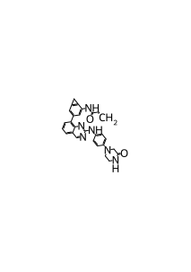 C=CC(=O)Nc1cc(-c2cccc3cnc(Nc4ccc(N5CCNC(=O)C5)cc4)nc23)cc2c1C2